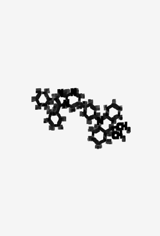 CC1(C)c2ccccc2N(c2ccc(-c3cnc4nc(-c5ccccc5)c(-c5ccccc5)n4c3)cc2)c2ccccc21